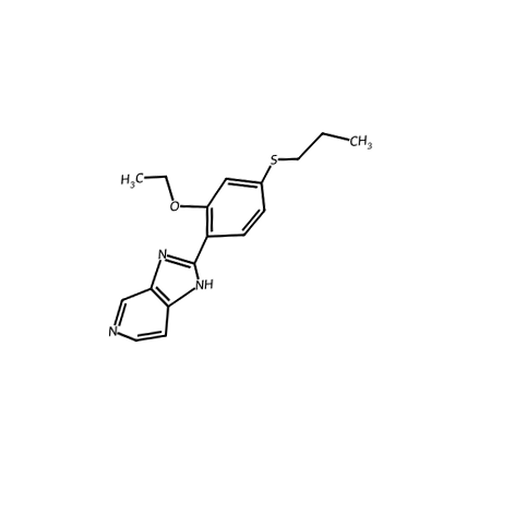 CCCSc1ccc(-c2nc3cnccc3[nH]2)c(OCC)c1